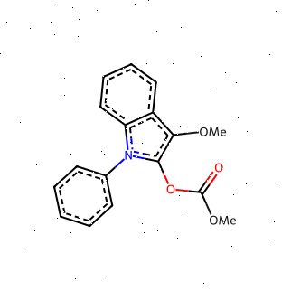 COC(=O)Oc1c(OC)c2ccccc2n1-c1ccccc1